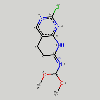 CCOC(/N=C1\CCc2cnc(Cl)nc2N1)OCC